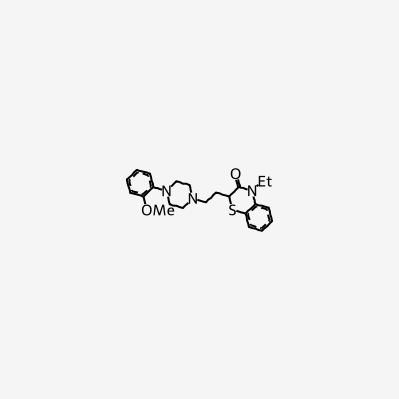 CCN1C(=O)C(CCN2CCN(c3ccccc3OC)CC2)Sc2ccccc21